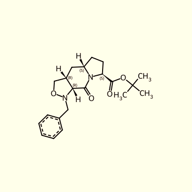 CC(C)(C)OC(=O)[C@@H]1CC[C@H]2C[C@H]3CON(Cc4ccccc4)[C@H]3C(=O)N21